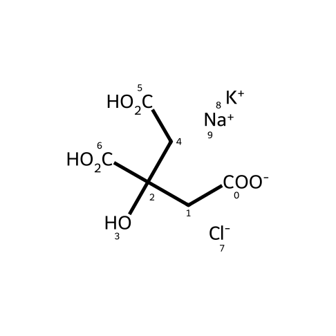 O=C([O-])CC(O)(CC(=O)O)C(=O)O.[Cl-].[K+].[Na+]